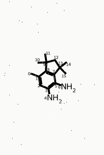 Cc1cc(N)c(N)c2c1C(C)(C)CC2(C)C